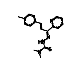 Cc1ccc(/C=C/C(=N\NC(=S)N(C)C)c2ccccn2)cc1